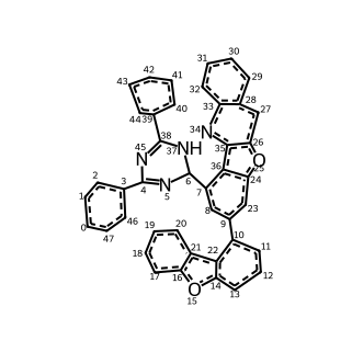 c1ccc(C2=NC(c3cc(-c4cccc5oc6ccccc6c45)cc4oc5cc6ccccc6nc5c34)NC(c3ccccc3)=N2)cc1